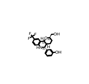 OC[C@H]1CC[C@@H]2[C@H](O1)c1cc(C(F)(F)F)ccc1N[C@H]2c1cccc(O)c1